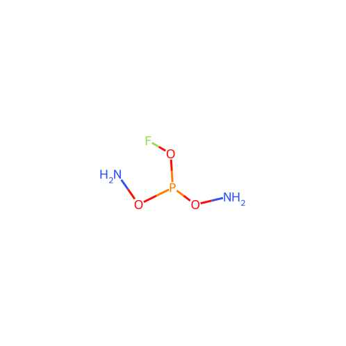 NOP(ON)OF